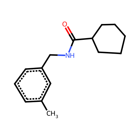 Cc1cccc(CNC(=O)C2CCCCC2)c1